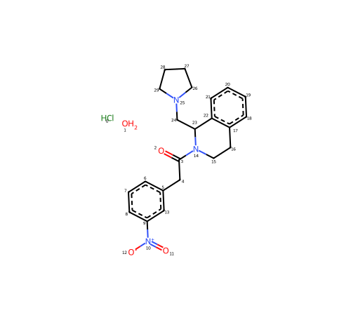 Cl.O.O=C(Cc1cccc([N+](=O)[O-])c1)N1CCc2ccccc2C1CN1CCCC1